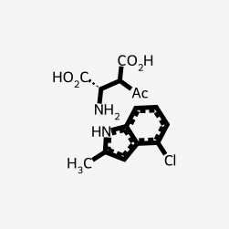 CC(=O)C(C(=O)O)[C@H](N)C(=O)O.Cc1cc2c(Cl)cccc2[nH]1